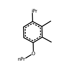 CCCOc1ccc(C(C)C)c(C)c1C